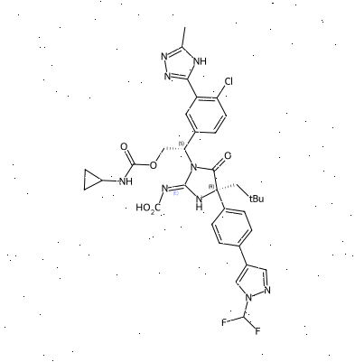 Cc1nnc(-c2cc([C@@H](COC(=O)NC3CC3)N3C(=O)[C@@](CC(C)(C)C)(c4ccc(-c5cnn(C(F)F)c5)cc4)N/C3=N\C(=O)O)ccc2Cl)[nH]1